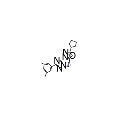 Cc1cc(C)cc(-c2ncn(/C=C\c3nnc(C4CCCC4)o3)n2)c1